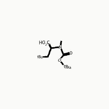 CN(C(=O)OC(C)(C)C)C(CC(C)(C)C)C(=O)O